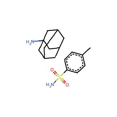 Cc1ccc(S(N)(=O)=O)cc1.NC12CC3CC(CC(C3)C1)C2